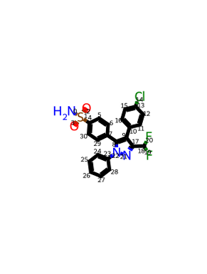 NS(=O)(=O)c1ccc(-c2c(-c3ccc(Cl)cc3)c(C(F)F)nn2-c2ccccc2)cc1